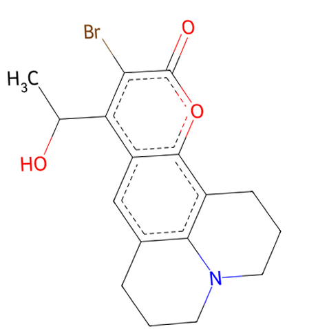 CC(O)c1c(Br)c(=O)oc2c3c4c(cc12)CCCN4CCC3